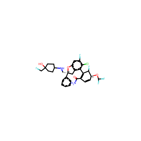 NC(=O)C1=C(c2c(Cl)c(F)cc3c2C[C@@](CNC2CCC(O)(CF)CC2)(c2ccccc2)O3)C(F)[C@@H](OC(F)F)C=C1